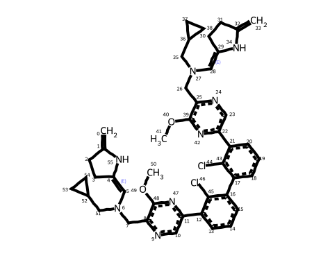 C=C1CC/C(=C\N(Cc2ncc(-c3cccc(-c4cccc(-c5cnc(CN(/C=C6\CCC(=C)N6)CC6CC6)c(OC)n5)c4Cl)c3Cl)nc2OC)CC2CC2)N1